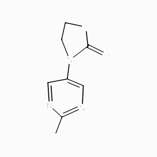 Cc1ncc(N2CCOC2=O)cn1